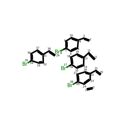 C=C.C=Cc1ccc(Br)cc1.C=Cc1ccc(Br)cc1.C=Cc1ccc(Br)cc1.C=Cc1ccc(Br)cc1